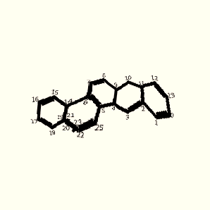 C1=CC2=CC3C4=C(C=CC3CC2C=C1)C1C=CC=CC12C=CC=CC2=C4